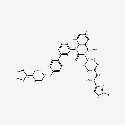 Cc1nc(C(=O)NC2CCC(n3c(=O)c4cc(F)cnc4n(-c4cccc(-c5ccc(CN6CCC(N7CCCC7)CC6)cc5)c4)c3=O)CC2)cs1